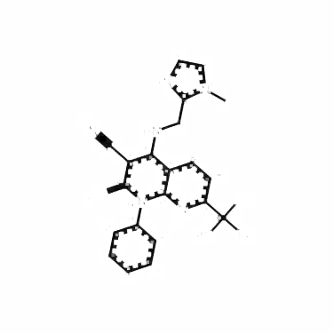 Cn1ccnc1CNc1c(C#N)c(=O)n(-c2ccccc2)c2nc(C(F)(F)F)ccc12